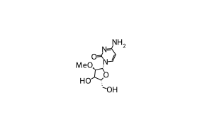 CO[C@@H]1C(O)[C@@H](CO)O[C@H]1n1ccc(N)nc1=O